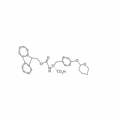 O=C(N[C@H](Cc1ccc(OC2CCCCO2)cc1)C(=O)O)OCC1c2ccccc2-c2ccccc21